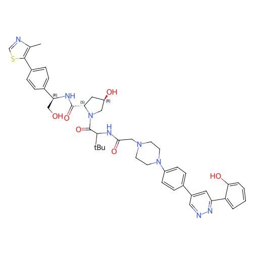 Cc1ncsc1-c1ccc([C@H](CO)NC(=O)[C@@H]2C[C@@H](O)CN2C(=O)C(NC(=O)CN2CCN(c3ccc(-c4cnnc(-c5ccccc5O)c4)cc3)CC2)C(C)(C)C)cc1